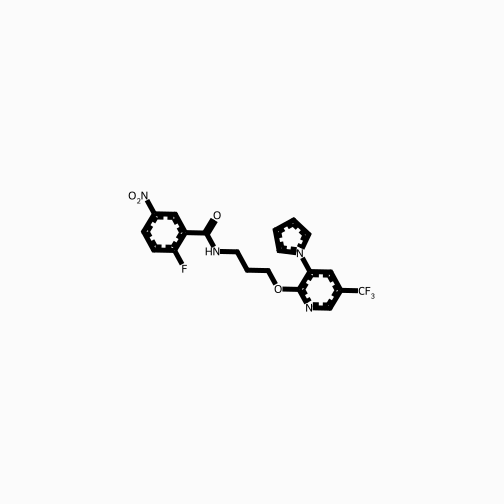 O=C(NCCCOc1ncc(C(F)(F)F)cc1-n1cccc1)c1cc([N+](=O)[O-])ccc1F